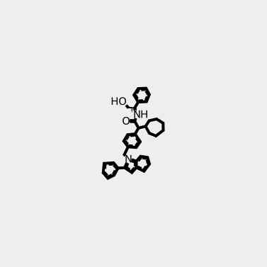 O=C(N[C@@H](CO)c1ccccc1)C(c1ccc(Cn2c(-c3ccccc3)cc3ccccc32)cc1)C1CCCCCC1